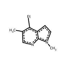 CCc1c(C)cnc2c1ccn2C